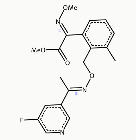 CO/N=C(/C(=O)OC)c1cccc(C)c1CO/N=C(\C)c1cncc(F)c1